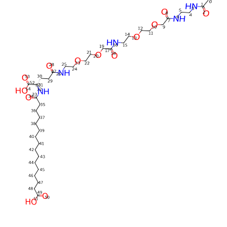 CC(=O)NCCNC(=O)COCCOCCNC(=O)COCCOCCNC(=O)CC[C@H](NC(=O)CCCCCCCCCCCCCCC(=O)O)C(=O)O